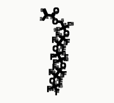 C=C(C)C(=O)OCC(F)(F)OC(F)(F)C(F)(F)OC(F)(F)C(F)(F)OC(F)(F)C(F)(F)OC(F)(F)F